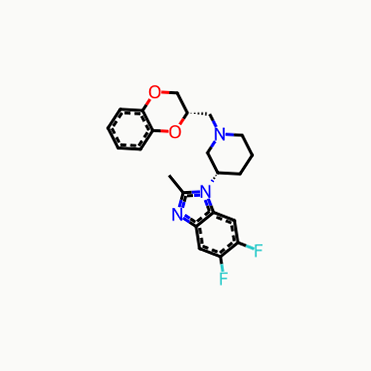 Cc1nc2cc(F)c(F)cc2n1[C@H]1CCCN(C[C@H]2COc3ccccc3O2)C1